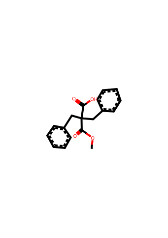 COC(=O)C(Cc1ccccc1)(Cc1ccccc1)C(=O)O